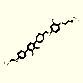 C=CCCOc1ccc(OCC2CCC(c3ccc(-c4ccc(OCC)cc4)c(F)c3F)CC2)cc1F